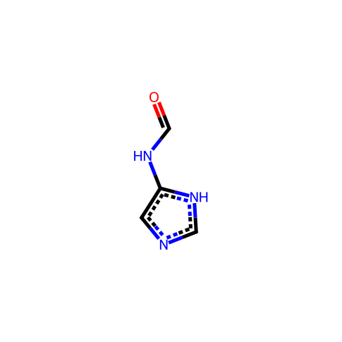 O=CNc1cnc[nH]1